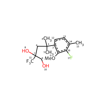 COc1c(C(C)(C)CC(O)(CO)C(F)(F)F)ccc(C)c1F